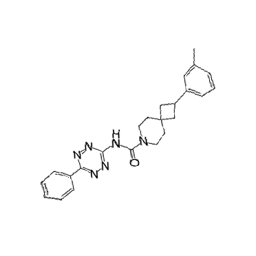 Cc1cccc(C2CC3(CCN(C(=O)Nc4nnc(-c5ccccc5)nn4)CC3)C2)c1